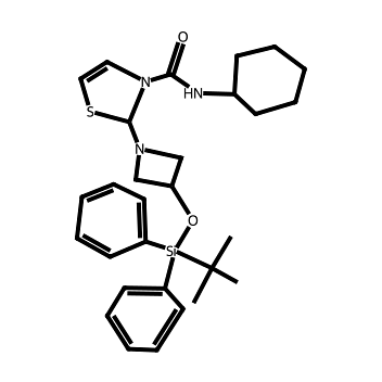 CC(C)(C)[Si](OC1CN(C2SC=CN2C(=O)NC2CCCCC2)C1)(c1ccccc1)c1ccccc1